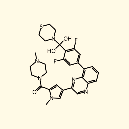 CN1CCN(C(=O)c2cc(-c3cnc4cccc(-c5cc(F)c(C(O)(O)N6CCSCC6)c(F)c5)c4n3)cn2C)CC1